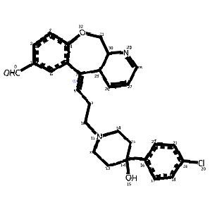 O=Cc1ccc2c(c1)/C(=C/CCN1CCC(O)(c3ccc(Cl)cc3)CC1)C1C=CC=NC1CO2